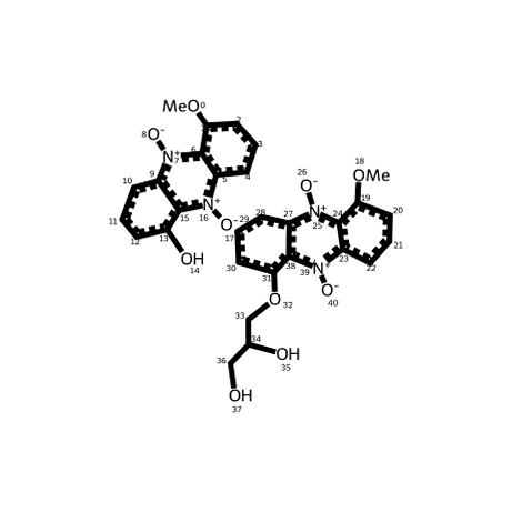 COc1cccc2c1[n+]([O-])c1cccc(O)c1[n+]2[O-].COc1cccc2c1[n+]([O-])c1cccc(OCC(O)CO)c1[n+]2[O-]